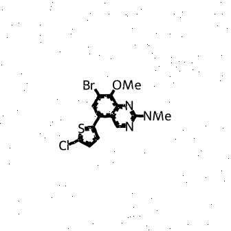 CNc1ncc2c(-c3ccc(Cl)s3)cc(Br)c(OC)c2n1